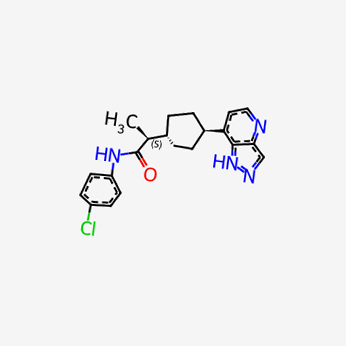 C[C@H](C(=O)Nc1ccc(Cl)cc1)[C@H]1CC[C@H](c2ccnc3cn[nH]c32)CC1